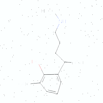 CCCCCCCCC(CCCNC(=O)O)c1cccc(C=O)c1O